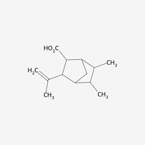 C=C(C)C1C2CC(C(C)C2C)C1C(=O)O